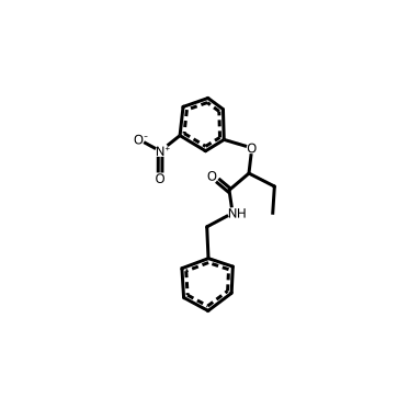 CCC(Oc1cccc([N+](=O)[O-])c1)C(=O)NCc1ccccc1